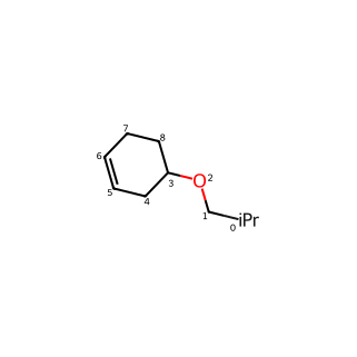 CC(C)COC1CC=CCC1